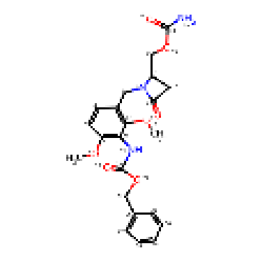 COc1ccc(CN2C(=O)CC2COC(N)=O)c(OC)c1NC(=O)OCc1ccccc1